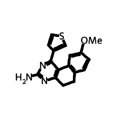 COc1ccc2c(c1)-c1c(nc(N)nc1-c1ccsc1)CC2